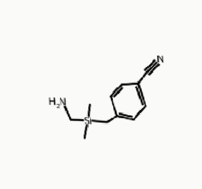 C[Si](C)(CN)Cc1ccc(C#N)cc1